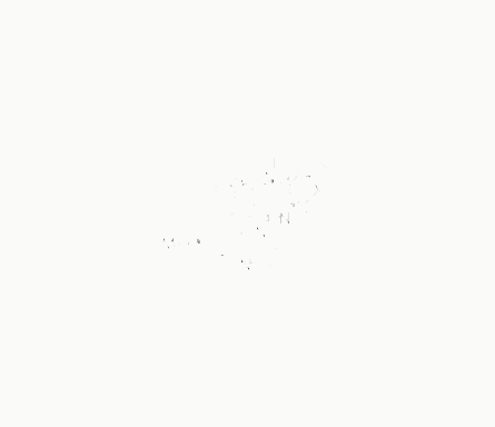 COCC[C@H]1CN(C2=Nc3ccc(Cl)cc3Nc3sc(C)cc32)CCN1